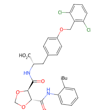 CCC(C)c1ccccc1NC(=O)[C@@H]1OCO[C@H]1C(=O)N[C@@H](Cc1ccc(OCc2c(Cl)cccc2Cl)cc1)C(=O)O